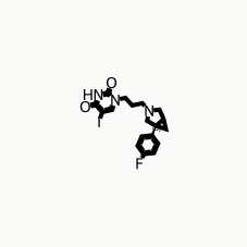 O=c1[nH]c(=O)n(CCCN2CC3C[C@]3(c3ccc(F)cc3)C2)cc1I